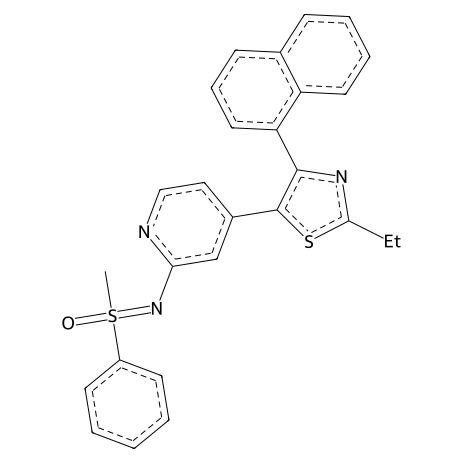 CCc1nc(-c2cccc3ccccc23)c(-c2ccnc(N=S(C)(=O)c3ccccc3)c2)s1